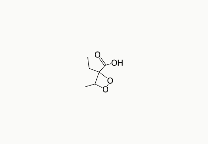 CCC1(C(=O)O)OOC1C